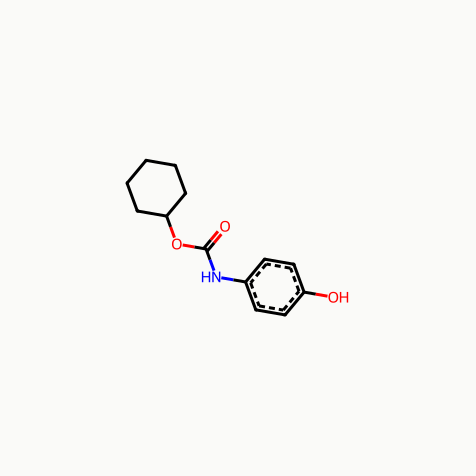 O=C(Nc1ccc(O)cc1)OC1CCCCC1